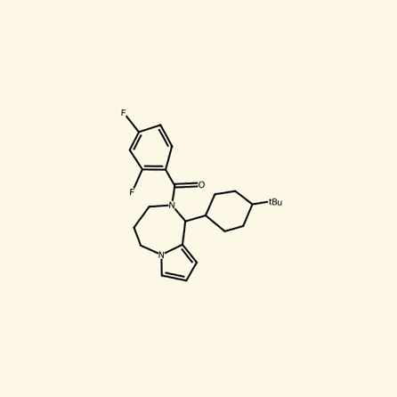 CC(C)(C)C1CCC(C2c3cccn3CCCN2C(=O)c2ccc(F)cc2F)CC1